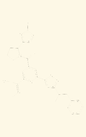 C/N=C(\OC)c1cc(C(=O)N2CCCC2c2nc(C)cs2)cc(-c2nnc(C(C)Cc3ccccc3)o2)n1